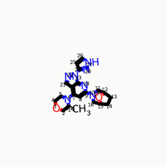 C[C@@H]1COCCN1c1cc(N2CC3CCC(C2)O3)nc2c1cnn2-c1cc[nH]n1